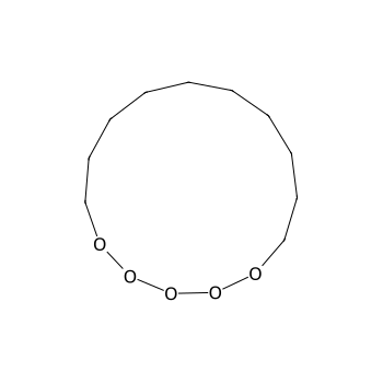 C1CCCCCOOOOOCCCC1